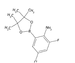 CC1(C)OB(c2cc(Cl)cc(F)c2N)OC1(C)C